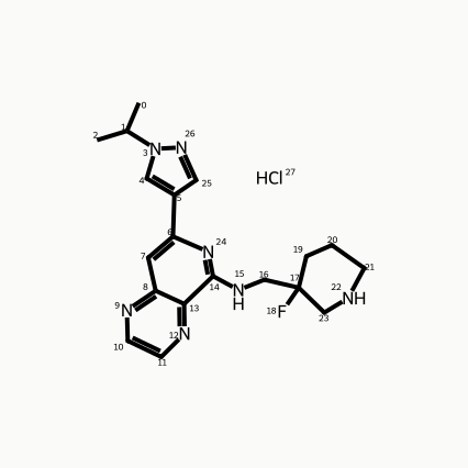 CC(C)n1cc(-c2cc3nccnc3c(NCC3(F)CCCNC3)n2)cn1.Cl